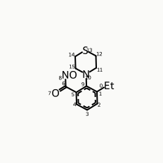 CCc1cccc(C(=O)N=O)c1N1CCSCC1